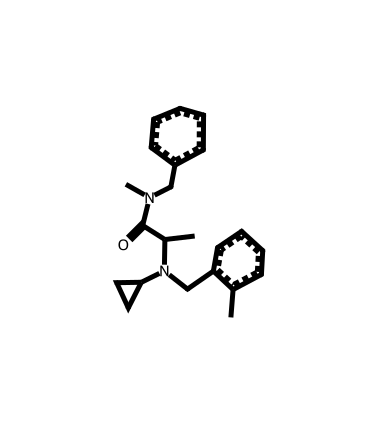 Cc1ccccc1CN(C1CC1)C(C)C(=O)N(C)Cc1ccccc1